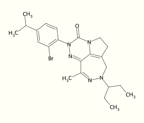 CCC(CC)N1CC2=C3C(=NN(c4ccc(C(C)C)cc4Br)C(=O)N3CC2)C(C)=N1